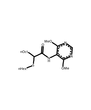 CCCCCCCCC(SCCCCCC)C(=O)Nc1c(OC)ncnc1OC